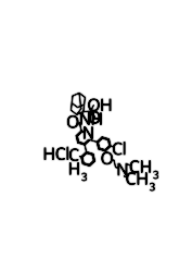 CCN(CC)CCOc1cc(-c2nc(C(=O)NC3(C(=O)O)C4CC5CC(C4)CC3C5)ccc2-c2ccccc2C)ccc1Cl.Cl